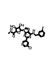 CNC(=O)C1OC(n2cnc3c(NCc4cccc(F)c4)nc(-c4cncc(Cl)c4)nc32)C(O)C1O